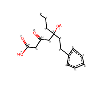 CCCC(O)(CCc1ccccc1)CC(=O)CC(=O)O